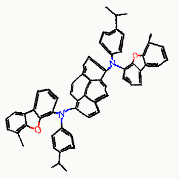 Cc1cccc2c1oc1c(N(c3ccc(C(C)C)cc3)c3ccc4ccc5c(N(c6ccc(C(C)C)cc6)c6cccc7c6oc6c(C)cccc67)ccc6ccc3c4c65)cccc12